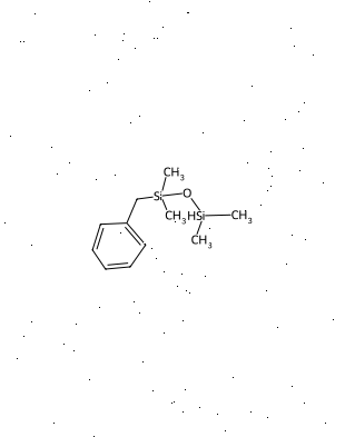 C[SiH](C)O[Si](C)(C)Cc1ccccc1